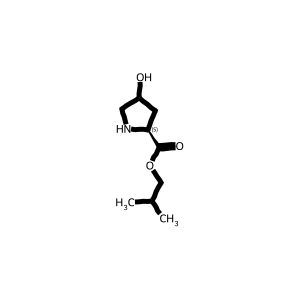 CC(C)COC(=O)[C@@H]1CC(O)CN1